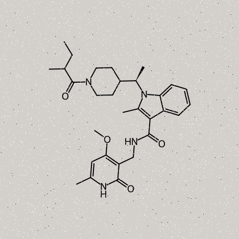 CCC(C)C(=O)N1CCC([C@@H](C)n2c(C)c(C(=O)NCc3c(OC)cc(C)[nH]c3=O)c3ccccc32)CC1